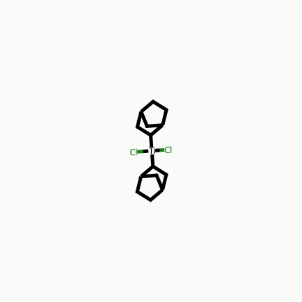 [Cl][Ti]([Cl])([CH]1CC2CCC1C2)[CH]1CC2CCC1C2